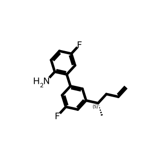 C=CC[C@H](C)c1cc(F)cc(-c2cc(F)ccc2N)c1